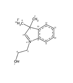 CC1(C)C=[N+](CCO)c2ccccc21.[I-]